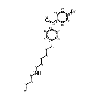 C=CCCNCCCCCCc1ccc(C(=O)c2ccc(Br)cc2)cc1